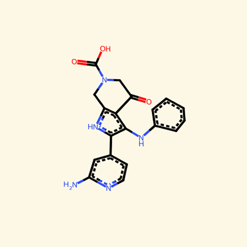 Nc1cc(-c2[nH]c3c(c2Nc2ccccc2)C(=O)CN(C(=O)O)C3)ccn1